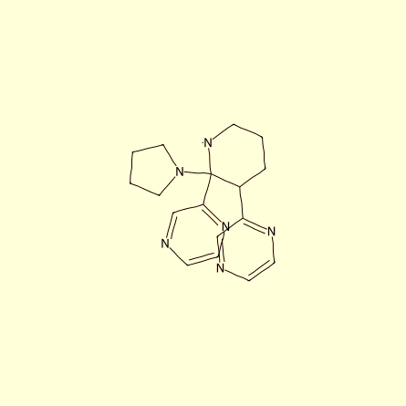 c1cnc(C2CCC[N]C2(c2cnccn2)N2CCCC2)cn1